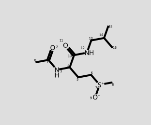 CC(=O)NC(CC[S+](C)[O-])C(=O)NCC(C)C